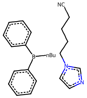 CCCCB(c1ccccc1)c1ccccc1.N#CCCCCn1ccnc1